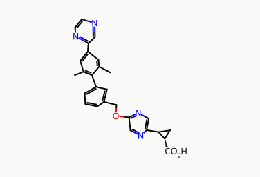 Cc1cc(-c2cnccn2)cc(C)c1-c1cccc(COc2cnc(C3C[C@H]3C(=O)O)cn2)c1